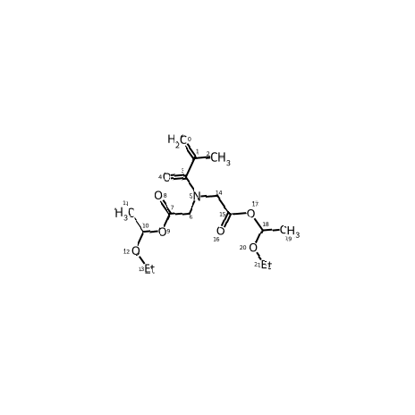 C=C(C)C(=O)N(CC(=O)OC(C)OCC)CC(=O)OC(C)OCC